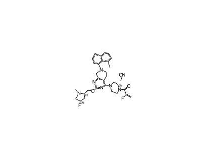 C=C(F)C(=O)N1CCN(c2nc(OC[C@H]3C[C@@H](F)CN3C)nc3c2CCN(c2cccc4cccc(C)c24)C3)C[C@@H]1CC#N